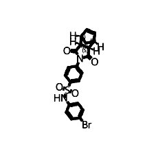 O=C1[C@@H]2[C@H](C(=O)N1c1ccc(S(=O)(=O)Nc3ccc(Br)cc3)cc1)[C@@H]1C=C[C@H]2C1